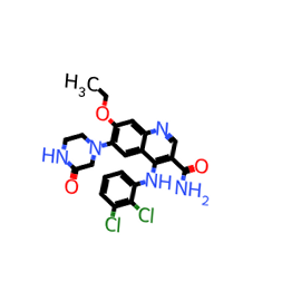 CCOc1cc2ncc(C(N)=O)c(Nc3cccc(Cl)c3Cl)c2cc1N1CCNC(=O)C1